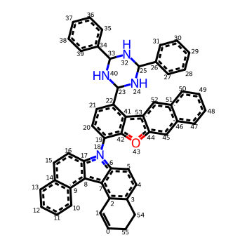 C1=Cc2c(ccc3c2c2c4ccccc4ccc2n3-c2ccc(C3NC(c4ccccc4)NC(c4ccccc4)N3)c3c2oc2cc4ccccc4cc23)CC1